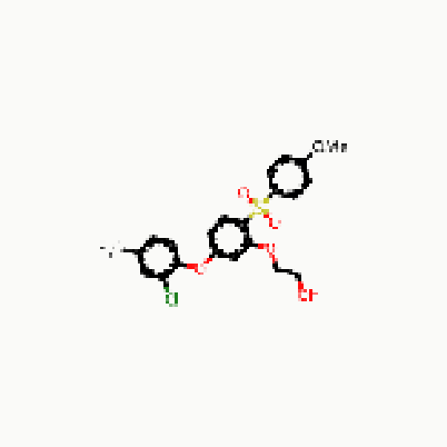 COc1ccc(S(=O)(=O)c2ccc(Oc3ccc(C(F)(F)F)cc3Cl)cc2OCCO)cc1